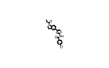 CCC(=O)N1CCc2cc(-c3csc(NC(=O)c4ccc(Cl)cc4)n3)ccc21